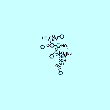 CC(C)(C)OC(=O)N[C@@H](C[C@@H](O)CNC(=O)OCc1ccccc1)C(=O)N[C@@H](Cc1cc(-c2ccc(OCc3ccccc3)c(C[C@H](NC(=O)OCc3ccccc3)C(=O)O)c2)ccc1[N+](=O)[O-])C(=O)OCc1ccccc1